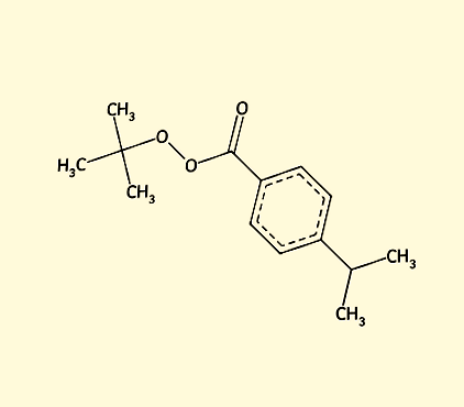 CC(C)c1ccc(C(=O)OOC(C)(C)C)cc1